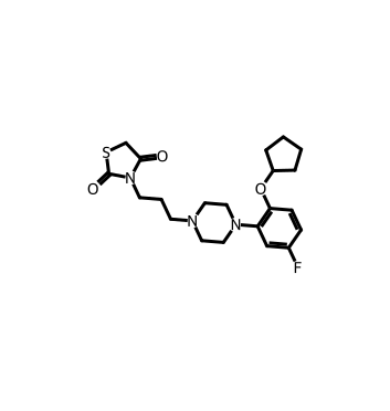 O=C1CSC(=O)N1CCCN1CCN(c2cc(F)ccc2OC2CCCC2)CC1